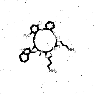 CN1C(=O)[C@@H](CCCCN)NC(=O)[C@@H](CCCN)NCc2ccccc2Sc2c(Cl)ccc(C(F)(F)F)c2CNC(=O)[C@@H]1Cc1c[nH]c2ccccc12